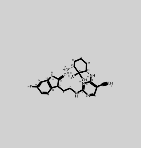 C#Cc1cnc(NCCC2C(=O)Nc3cc(F)ccc32)nc1N[C@H]1CCC[C@@H](O)C1(C)C